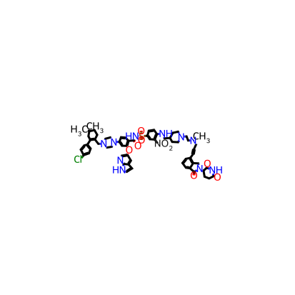 CN(CC#Cc1cccc2c1CN(C1CCC(=O)NC1=O)C2=O)CCN1CCC(CNc2ccc(S(=O)(=O)NC(=O)c3ccc(N4CCN(CC5=C(c6ccc(Cl)cc6)CC(C)(C)CC5)CC4)cc3Oc3cnc4[nH]ccc4c3)cc2[N+](=O)[O-])CC1